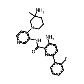 CC1(N)CCCN(c2ccncc2NC(=O)c2nc(-c3ccccc3F)ccc2N)C1